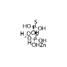 O.OP(O)(O)=S.OP(O)(O)=S.[Zn]